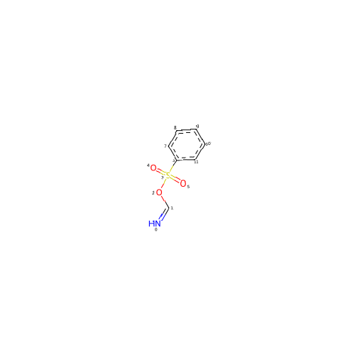 N=COS(=O)(=O)c1ccccc1